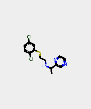 CC(NCCSc1cc(Cl)ccc1Cl)c1cnccn1